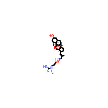 C/C(=C\C1CC[C@@]2(O)[C@@H]3CCC4CC(O)CC[C@]4(C)[C@@H]3CC[C@]12C)CNOCCCNC(=N)N